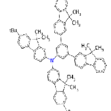 CC(C)(C)c1ccc2c(c1)C(C)(C)c1cc(N(c3cc(-c4ccc5c(c4)C(C)(C)c4ccccc4-5)cc(-c4ccc5c(c4)C(C)(C)c4ccccc4-5)c3)c3ccc4c(c3)C(C)(C)c3cc(C(C)(C)C)ccc3-4)ccc1-2